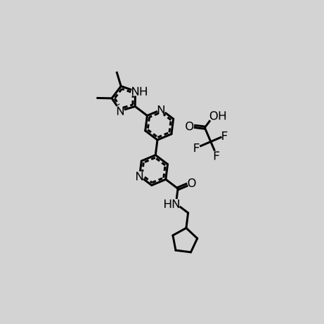 Cc1nc(-c2cc(-c3cncc(C(=O)NCC4CCCC4)c3)ccn2)[nH]c1C.O=C(O)C(F)(F)F